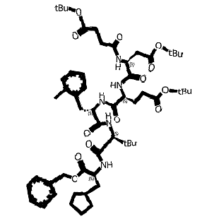 Cc1ccccc1C[C@H](NC(=O)[C@H](CCC(=O)OC(C)(C)C)NC(=O)[C@H](CC(=O)OC(C)(C)C)NC(=O)CCC(=O)OC(C)(C)C)C(=O)N[C@H](C(=O)N[C@@H](CC1CCCC1)C(=O)OCc1ccccc1)C(C)(C)C